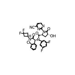 N#Cc1ccnc(N2C(=O)[C@H](O)C[C@H]2C(=O)N(c2cc(F)cc(F)c2)[C@H](C(=O)NC2CC(F)(F)C2)c2ccccc2Cl)n1